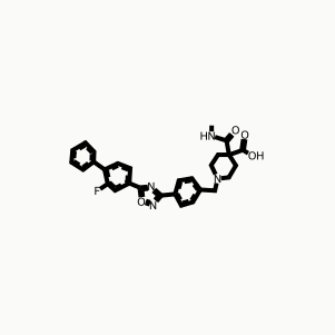 CNC(=O)C1(C(=O)O)CCN(Cc2ccc(-c3noc(-c4ccc(-c5ccccc5)c(F)c4)n3)cc2)CC1